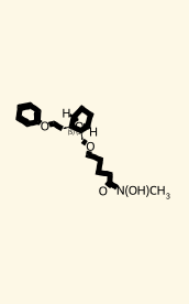 CN(O)C(=O)CCCCOC[C@@H]1[C@H](CCOc2ccccc2)[C@@H]2CC[C@H]1O2